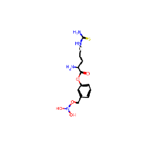 NC(=S)NCCCC(N)C(=O)Oc1cccc(CON(O)O)c1